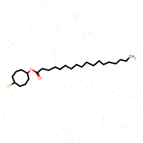 [CH2]CCCCCCCCCCCCCCCCC(=O)OC1CCCC([S])CCC1